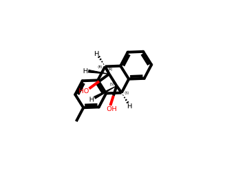 Cc1ccc2c(c1)[C@@H]1c3ccccc3[C@H]2[C@@H](O)[C@H]1O